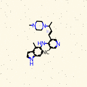 Cc1c(Nc2c(C#N)cncc2/C=C/C(C)N2CCN(C)CC2)ccc2[nH]ccc12